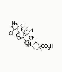 CC1(C(=O)O)CCC(n2ncc(C(=O)N(CC(=O)c3c(Cl)cncc3Cl)CC3(C(F)(F)F)CC3)c2C(F)(F)F)CC1